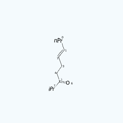 CCCC=CCCC(=O)C(C)C